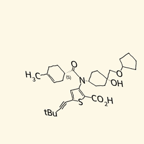 CC1=CC[C@@H](C(=O)N(c2cc(C#CC(C)(C)C)sc2C(=O)O)[C@H]2CC[C@](O)(COC3CCCC3)CC2)CC1